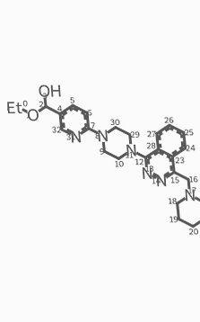 CCOC(O)c1ccc(N2CCN(c3nnc(CN4CCCCC4)c4ccccc34)CC2)nc1